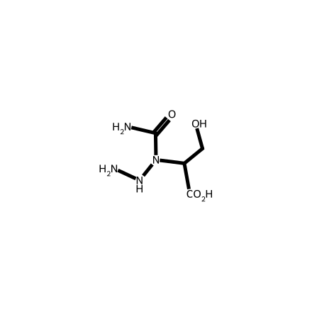 NNN(C(N)=O)C(CO)C(=O)O